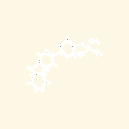 CC(C)(C)Cc1ccc(-c2ccc3oc4ccccc4c3c2)cc1